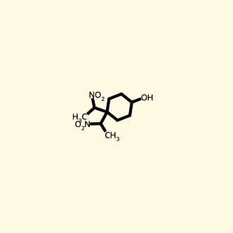 CC([N+](=O)[O-])C1(C(C)[N+](=O)[O-])CCC(O)CC1